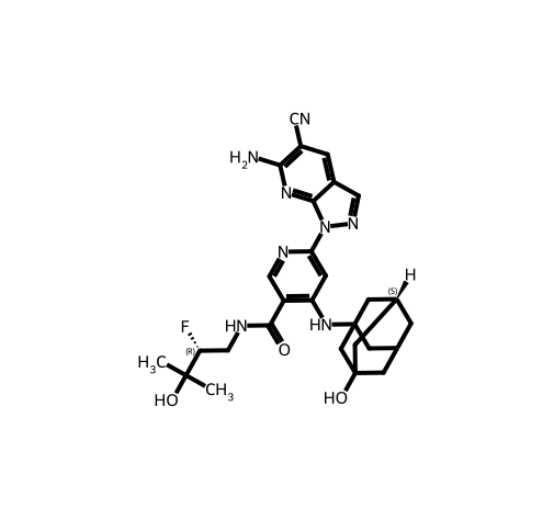 CC(C)(O)[C@H](F)CNC(=O)c1cnc(-n2ncc3cc(C#N)c(N)nc32)cc1NC12CC3C[C@H](CC(O)(C3)C1)C2